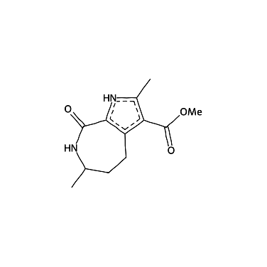 COC(=O)c1c(C)[nH]c2c1CCC(C)NC2=O